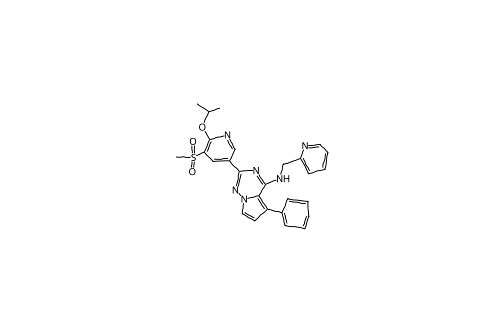 CC(C)Oc1ncc(-c2nc(NCc3ccccn3)c3c(-c4ccccc4)ccn3n2)cc1S(C)(=O)=O